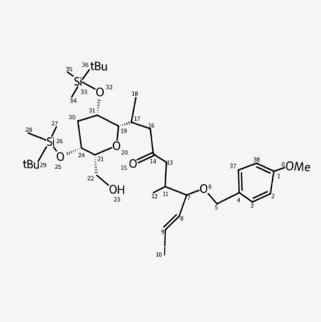 COc1ccc(COC(/C=C/I)C(C)CC(=O)CC(C)[C@@H]2O[C@H](CO)[C@H](O[Si](C)(C)C(C)(C)C)C[C@@H]2O[Si](C)(C)C(C)(C)C)cc1